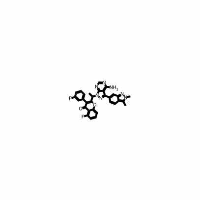 Cc1c2ccc(-c3nn(C(C)c4oc5cccc(F)c5c(=O)c4-c4cccc(F)c4)c4ncnc(N)c34)cc2nn1C